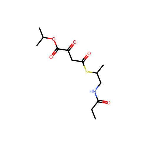 CCC(=O)NCC(C)SC(=O)CC(=O)C(=O)OC(C)C